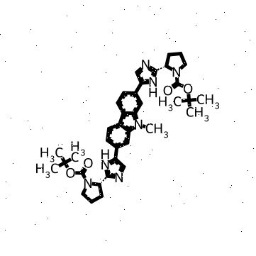 Cn1c2cc(-c3cnc([C@@H]4CCCN4C(=O)OC(C)(C)C)[nH]3)ccc2c2ccc(-c3cnc([C@@H]4CCCN4C(=O)OC(C)(C)C)[nH]3)cc21